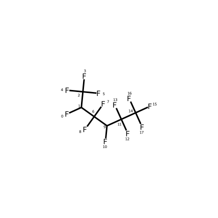 FC(C(F)(F)F)C(F)(F)C(F)C(F)(F)C(F)(F)F